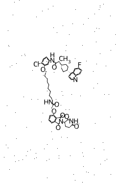 C[C@@H](C(=O)Nc1ccc(Cl)c(OCCCCCCCCCNC(=O)COc2cccc3c2C(=O)N(C2CCC(=O)NC2=O)C3=O)c1)[C@H]1CC[C@@H](c2ccnc3ccc(F)cc32)CC1